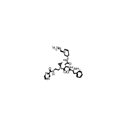 NN=CN1CCC[C@@H](CNC(=O)C[C@H](NC(=O)[C@@H](N)Cc2ccccc2)C(=O)N(CCNC(=O)c2cnccn2)C2CC2)C1